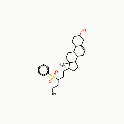 CC(C)CCC(CCC1CCC2C3CC=C4CC(O)CCC4C3CCC12C)S(=O)(=O)c1ccccc1